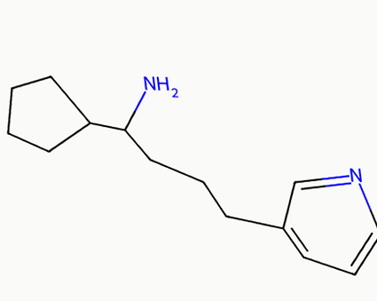 NC(CCCc1cccnc1)C1CCCC1